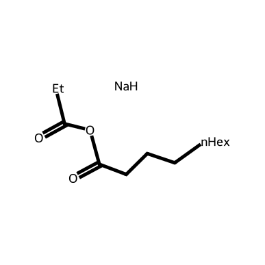 CCCCCCCCCC(=O)OC(=O)CC.[NaH]